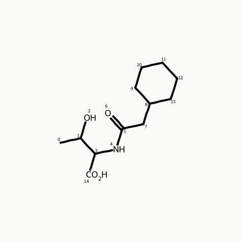 CC(O)C(NC(=O)CC1CCCCC1)C(=O)O